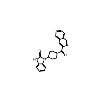 O=C(c1[c]cc2ccccc2c1)N1CCC(n2c(=O)[nH]c3ccccc32)CC1